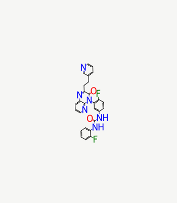 O=C(Nc1ccc(F)c(-n2c(=O)c(CCc3cccnc3)nc3cccnc32)c1)Nc1ccccc1F